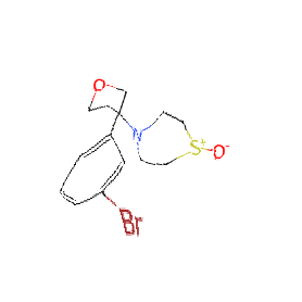 [O-][S+]1CCN(C2(c3cccc(Br)c3)COC2)CC1